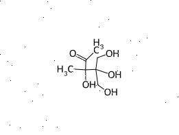 CC(=O)C(C)(O)C(O)(CO)CO